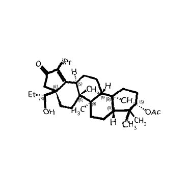 CC[C@@H](O)[C@@]12CC[C@]3(C)[C@H](CC[C@@H]4[C@@]5(C)CC[C@H](OC(C)=O)C(C)(C)[C@@H]5CC[C@]43C)C1=C(C(C)C)C(=O)C2